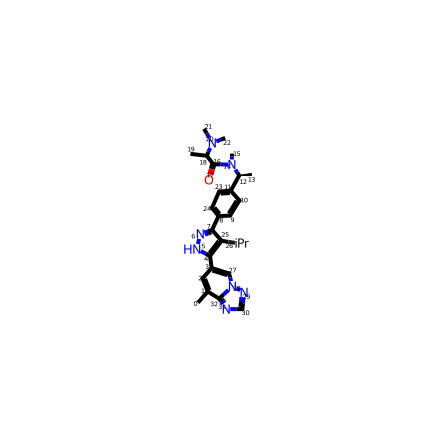 Cc1cc(-c2[nH]nc(-c3ccc([C@H](C)N(C)C(=O)C(C)N(C)C)cc3)c2C(C)C)cn2ncnc12